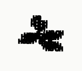 CN[C@@H](CCC(=O)N(CCNC(=O)C(O)C(O)C(O)C(O)CO)CCNC(=O)C(O)C(O)C(O)C(O)CO)C(=O)N(CCNC(=O)C(O)C(O)C(O)C(O)CO)CCNC(=O)C(O)C(O)C(O)C(O)CO